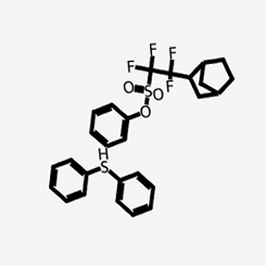 O=S(=O)(Oc1cccc([SH](c2ccccc2)c2ccccc2)c1)C(F)(F)C(F)(F)C1CC2CCC1C2